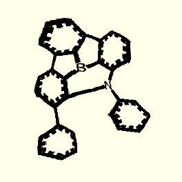 c1ccc(-c2ccc3c4c2N(c2ccccc2)c2cccc5c2B4c2c-5cccc2-3)cc1